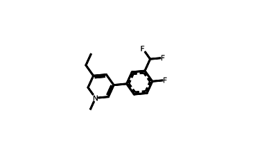 CCC1=CC(c2ccc(F)c(C(F)F)c2)=CN(C)C1